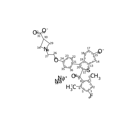 Cc1cc(F)cc(C)c1C(=O)c1sc2cc([O-])ccc2c1-c1ccc(OCCN2CC(C(=O)[O-])C2)cc1.[Na+].[Na+]